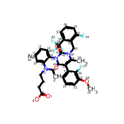 CCN(CCCC(=O)[O-])c1ccccc1-n1c(=O)c(-c2cccc(OC)c2F)c(C)n(Cc2c(F)cccc2C(F)(F)F)c1=O.[Na+]